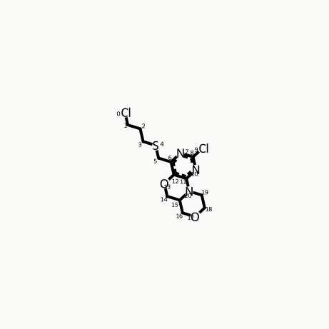 ClCCCSCc1nc(Cl)nc2c1OCC1COCCN21